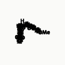 COc1ccc(-c2ccc(OC(=O)c3cccc(C(=O)Nc4cccc(OC(=O)c5ccc(N6C(=O)C7CC=CCC7C6=O)cc5)c4)c3)cc2)cc1